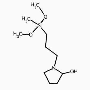 CO[Si](C)(CCCN1CCCC1O)OC